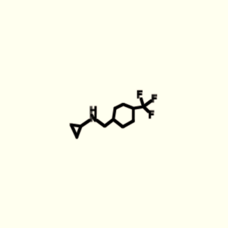 FC(F)(F)C1CCC(CNC2CC2)CC1